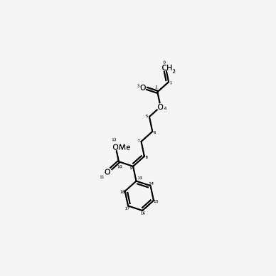 C=CC(=O)OCCCC=C(C(=O)OC)c1ccccc1